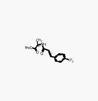 COC(=O)[C@@H](C)NC(=O)/C=C/c1ccc(C(F)(F)F)cc1